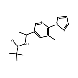 Cc1cc(C(C)N[S+]([O-])C(C)(C)C)cnc1-n1cccn1